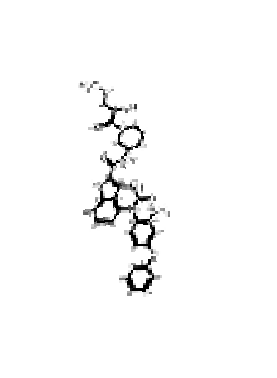 COCC(O)C(=O)N1CCCC(NC(=O)c2sc3nccc4c3c2NC(=O)N4c2ccc(Oc3ccccc3)cc2C)C1